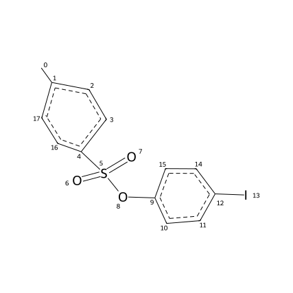 Cc1ccc(S(=O)(=O)Oc2ccc(I)cc2)cc1